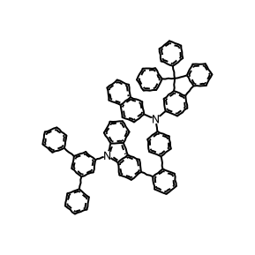 c1ccc(-c2cc(-c3ccccc3)cc(-n3c4ccccc4c4cc(-c5ccccc5-c5ccc(N(c6ccc7c(c6)C(c6ccccc6)(c6ccccc6)c6ccccc6-7)c6ccc7ccccc7c6)cc5)ccc43)c2)cc1